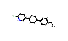 CCc1ccc(C2CCC(c3ccc(F)nc3)CC2)cc1